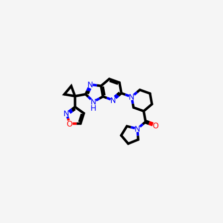 O=C(C1CCCN(c2ccc3nc(C4(c5ccon5)CC4)[nH]c3n2)C1)N1CCCC1